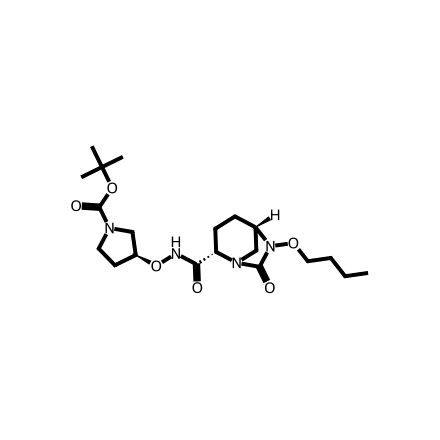 CCCCON1C(=O)N2C[C@@H]1CC[C@H]2C(=O)NO[C@H]1CCN(C(=O)OC(C)(C)C)C1